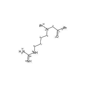 CC(C)C(=O)CN(CCCCNC(=N)N)C(C)C